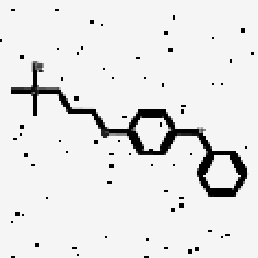 CC[Si](C)(C)CCCOc1ccc([I+]c2ccccc2)cc1